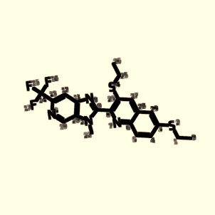 CCSc1ccc2nc(-c3nc4cc(C(F)(F)F)ncc4n3C)c(SCC)cc2c1